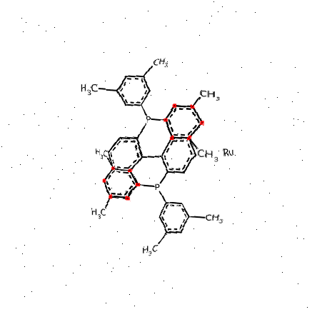 Cc1cc(C)cc(P(c2cc(C)cc(C)c2)c2ccc3ccccc3c2-c2c(P(c3cc(C)cc(C)c3)c3cc(C)cc(C)c3)ccc3ccccc23)c1.[Ru]